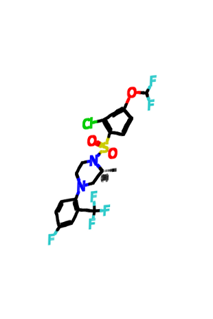 C[C@@H]1CN(c2ccc(F)cc2C(F)(F)F)CCN1S(=O)(=O)c1ccc(OC(F)F)cc1Cl